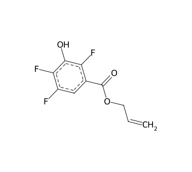 C=CCOC(=O)c1cc(F)c(F)c(O)c1F